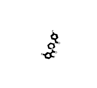 O=C(c1ccc(F)cc1)[C@H]1CCCN(C(=O)c2cc(F)ccc2F)C1